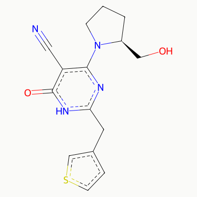 N#Cc1c(N2CCC[C@H]2CO)nc(Cc2ccsc2)[nH]c1=O